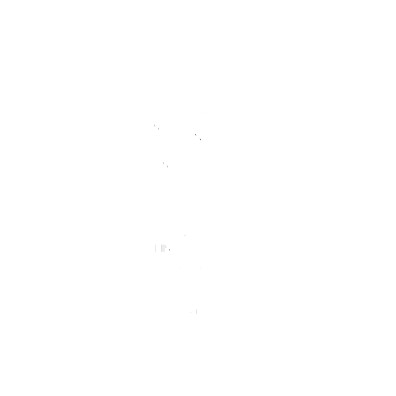 Cc1cccc2nc(NC(=O)c3cccc(C(F)(F)F)c3)n(C3CCC[C@H](NC(=O)OC(C)(C)C)C3)c12